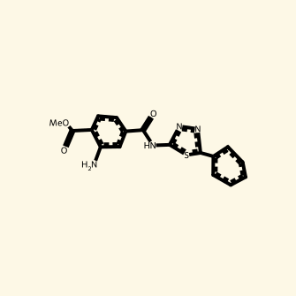 COC(=O)c1ccc(C(=O)Nc2nnc(-c3ccccc3)s2)cc1N